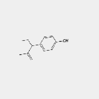 [CH]=C(C)C(CC)c1ccc(O)cc1